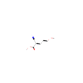 CO/C=C/C=C(\C#N)C(=O)OC